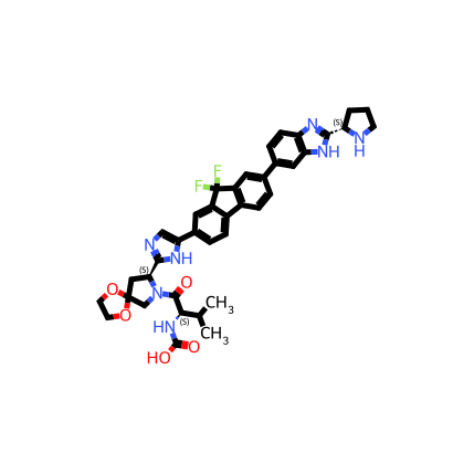 CC(C)[C@H](NC(=O)O)C(=O)N1CC2(C[C@H]1c1ncc(-c3ccc4c(c3)C(F)(F)c3cc(-c5ccc6nc([C@@H]7CCCN7)[nH]c6c5)ccc3-4)[nH]1)OCCO2